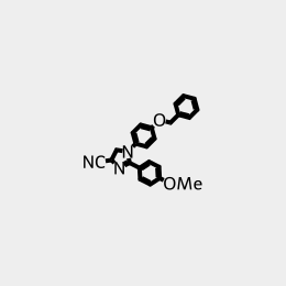 COc1ccc(C2=NC(C#N)CN2c2ccc(OCc3ccccc3)cc2)cc1